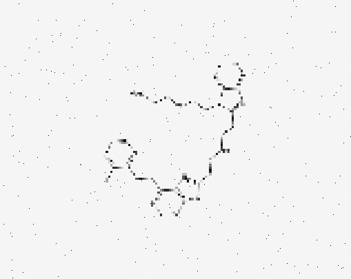 COCCOCCn1c(CCNCCc2nc3c(NCc4ncccc4F)nccc3o2)nc2ccccc21